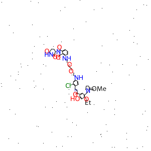 CCOc1cc(O)c(C(=O)/C=C/c2ccc(NCCOCCOCCNc3cccc4c3C(=O)N(C3CCC(=O)NC3=O)C4=O)cc2Cl)cc1CN1CCC[C@H]1COC